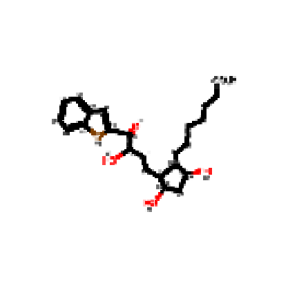 O=C(O)CCCCCC[C@@H]1C(CCC(O)C(=O)c2cc3ccccc3s2)[C@H](O)C[C@@H]1O